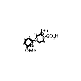 COc1cccc(N2CCN(C(=O)O)C(C(C)(C)C)C2)n1